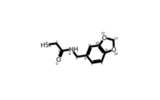 O=C(CS)NCc1ccc2c(c1)OCO2